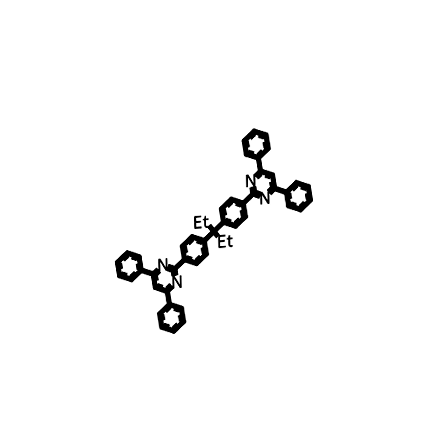 CCC(CC)(c1ccc(-c2nc(-c3ccccc3)cc(-c3ccccc3)n2)cc1)c1ccc(-c2nc(-c3ccccc3)cc(-c3ccccc3)n2)cc1